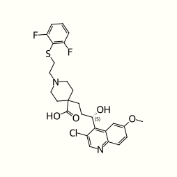 COc1ccc2ncc(Cl)c([C@@H](O)CCC3(C(=O)O)CCN(CCSc4c(F)cccc4F)CC3)c2c1